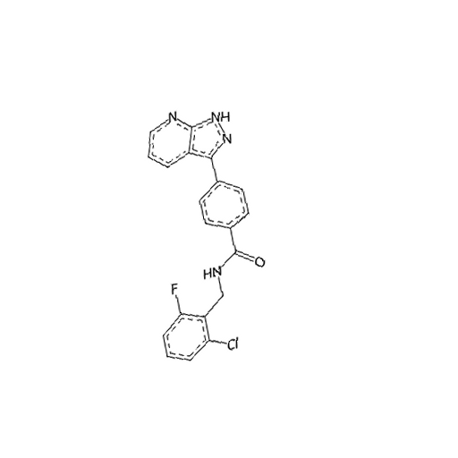 O=C(NCc1c(F)cccc1Cl)c1ccc(-c2n[nH]c3ncccc23)cc1